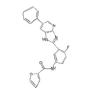 O=C(Nc1ccc(F)c(-c2nc3ncc(-c4ccccc4)cc3[nH]2)c1)c1ccco1